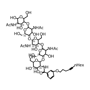 CCCCCCC#CCCCOc1cccc(C(=O)N[C@@H]2C(O[C@H]3C(O)C(NC(C)=O)[C@H](OC4C(CO)O[C@@H](O[C@H]5C(O)C(NC(C)=O)C(OC6C(CO)OC(O)[C@@H](NC(C)=O)[C@@H]6O)O[C@H]5CO)[C@@H](NC(C)=O)[C@@H]4O)O[C@H]3CO)OC(CO)[C@@H](O)[C@@H]2O)c1